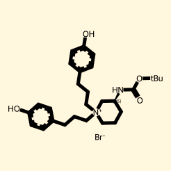 CC(C)(C)OC(=O)N[C@H]1CCC[N+](CCCc2ccc(O)cc2)(CCCc2ccc(O)cc2)C1.[Br-]